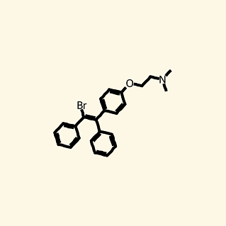 CN(C)CCOc1ccc(/C(=C(\Br)c2ccccc2)c2ccccc2)cc1